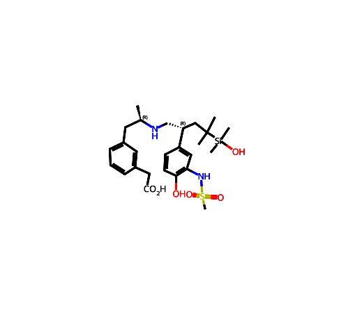 C[C@H](Cc1cccc(CC(=O)O)c1)NC[C@H](CC(C)(C)[Si](C)(C)O)c1ccc(O)c(NS(C)(=O)=O)c1